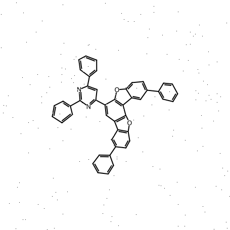 c1ccc(-c2ccc3oc4c(cc(-c5cc(-c6ccccc6)nc(-c6ccccc6)n5)c5oc6ccc(-c7ccccc7)cc6c54)c3c2)cc1